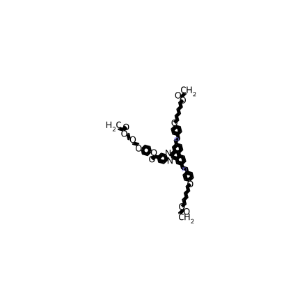 C=CC(=O)OCCCCCCOc1ccc(/C=C/c2ccc3c4ccc(/C=C/c5ccc(OCCCCCCOC(=O)C=C)cc5)cc4c4nc5cc(C(=O)OC6CCC(OCCOCCOC(=O)C=C)CC6)ccc5nc4c3c2)cc1